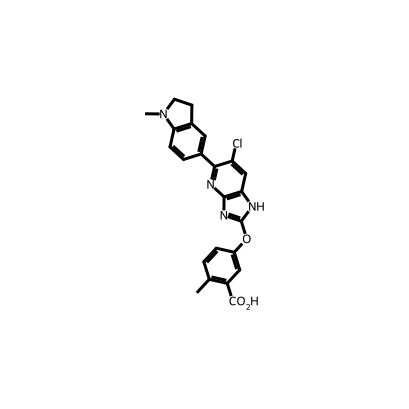 Cc1ccc(Oc2nc3nc(-c4ccc5c(c4)CCN5C)c(Cl)cc3[nH]2)cc1C(=O)O